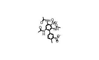 CC(=O)Nc1cc(NC(C)=O)c([N+](=O)[O-])c(NC(C)=O)c1-c1ccc(C)c([N+](=O)[O-])c1